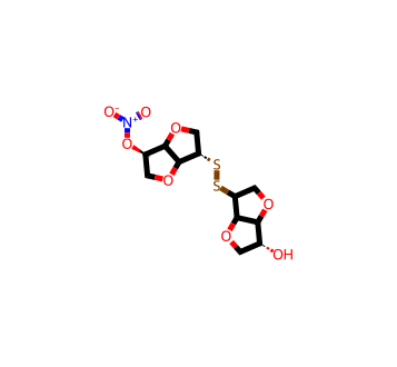 O=[N+]([O-])O[C@@H]1COC2C1OC[C@@H]2SSC1COC2C1OC[C@H]2O